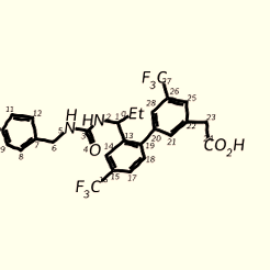 CCC(NC(=O)NCc1ccccc1)c1cc(C(F)(F)F)ccc1-c1cc(CC(=O)O)cc(C(F)(F)F)c1